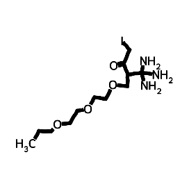 CCCOCCOCCOCC(C(=O)CI)C(N)(N)N